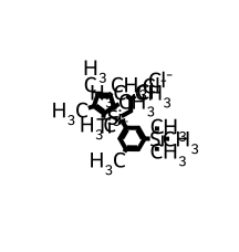 CC1=C(C)C(C)([Si](C)(CC(C)C)c2cc(C)cc([Si](C)(C)C)c2)[C]([Ti+3])=C1C.[Cl-].[Cl-].[Cl-]